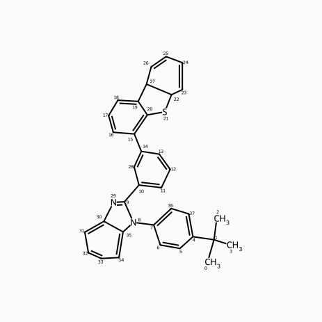 CC(C)(C)c1ccc(-n2c(-c3cccc(-c4cccc5c4SC4C=CC=CC54)c3)nc3ccccc32)cc1